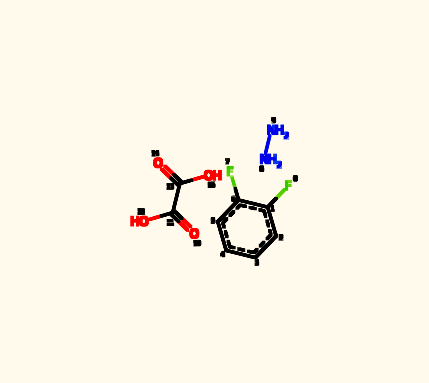 Fc1ccccc1F.NN.O=C(O)C(=O)O